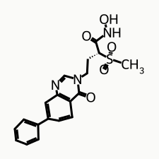 CS(=O)(=O)[C@H](CCn1cnc2cc(-c3ccccc3)ccc2c1=O)C(=O)NO